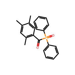 Cc1cc(C)c(C(=O)P(=O)(c2ccccc2)c2ccccc2)cc1C